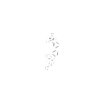 N#CN1CCC2(Cc3ccc(-c4cccc(NS(=O)(=O)C5CC5)c4)cc3NC2=O)C1